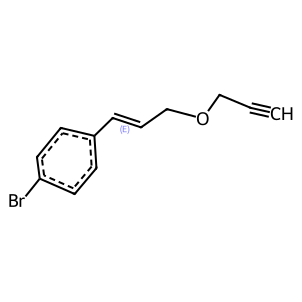 C#CCOC/C=C/c1ccc(Br)cc1